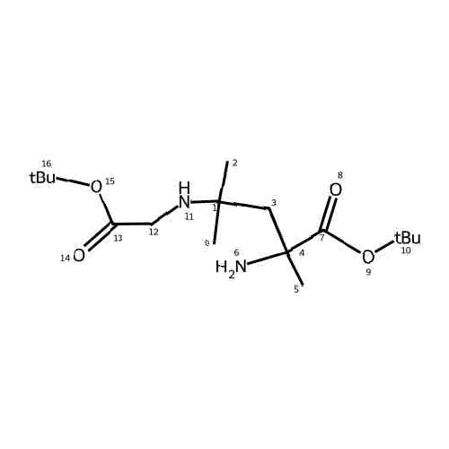 CC(C)(CC(C)(N)C(=O)OC(C)(C)C)NCC(=O)OC(C)(C)C